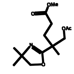 COC(=O)CCC(C)(COC(C)=O)C1=NC(C)(C)CO1